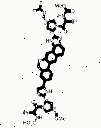 COC[C@H]1C[C@@H](c2ncc(-c3ccc4c(c3)COc3cc5c(ccc6nc([C@@H]7C[C@H](COC(F)F)CN7C(=O)C(NC(=O)OC)C(C)C)[nH]c65)cc3-4)[nH]2)N(C(=O)C(NC(=O)O)C(C)C)C1